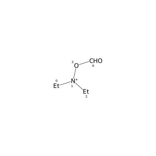 CC[N+](CC)OC=O